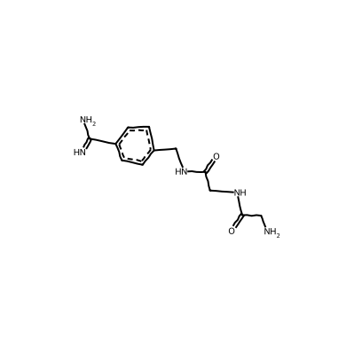 N=C(N)c1ccc(CNC(=O)CNC(=O)CN)cc1